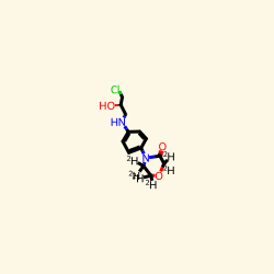 [2H]C1([2H])OC([2H])([2H])C([2H])([2H])N(c2ccc(NC[C@@H](O)CCl)cc2)C1=O